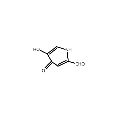 O=[C]c1cc(=O)c(O)c[nH]1